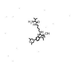 Cc1nnc2c(NCCCCNC(=O)C(N)C(C)C)nc3cc(N4CC(C)OC(C)C4)ccc3n12.Cl